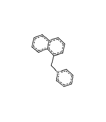 c1cc[n+](Cc2cccc3ccccc23)cc1